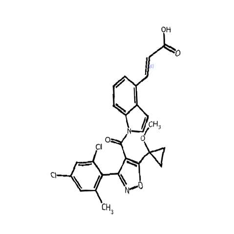 COC1(c2onc(-c3c(C)cc(Cl)cc3Cl)c2C(=O)n2ccc3c(/C=C/C(=O)O)cccc32)CC1